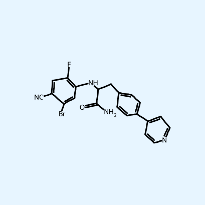 N#Cc1cc(F)c(NC(Cc2ccc(-c3ccncc3)cc2)C(N)=O)cc1Br